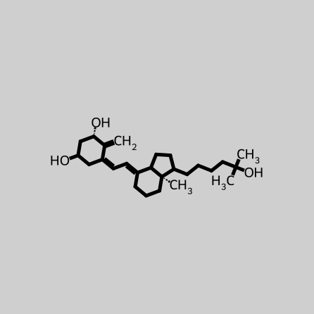 C=C1/C(=C\C=C2/CCC[C@]3(C)C(CCCCC(C)(C)O)CCC23)CC(O)C[C@@H]1O